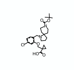 CC(C)(C)OC(=O)N1CCC2(CCCN2Cc2ccc(Cl)cc2OCC2(C(=O)O)CC2)CC1